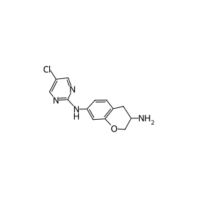 NC1COc2cc(Nc3ncc(Cl)cn3)ccc2C1